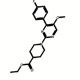 CCOC(=O)C1CCN(c2ncc(OC)c(-c3ccc(F)cc3)n2)CC1